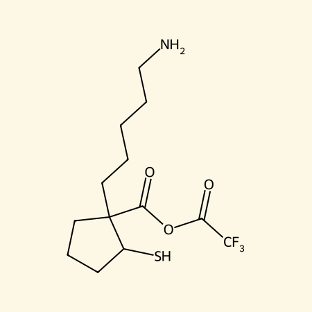 NCCCCCC1(C(=O)OC(=O)C(F)(F)F)CCCC1S